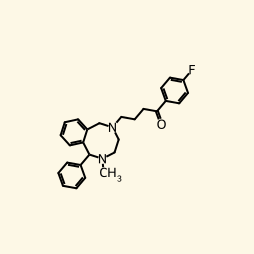 CN1CCN(CCCC(=O)c2ccc(F)cc2)Cc2ccccc2C1c1ccccc1